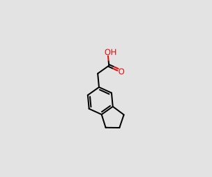 O=C(O)Cc1ccc2c(c1)CCC2